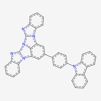 c1ccc2c(c1)nc1n2c2cc(-c3ccc(-n4c5ccccc5c5ccccc54)cc3)cc3c2n1c1nc2ccccc2n31